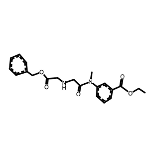 CCOC(=O)c1cccc(N(C)C(=O)CNCC(=O)OCc2ccccc2)c1